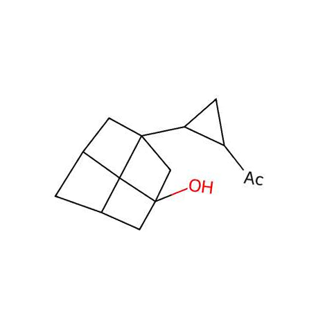 CC(=O)C1CC1C12CC3CC4CC(O)(C1)C432